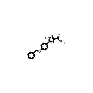 NC(=O)c1n[nH]c(-c2ccc(OCc3ccccc3)cc2)n1